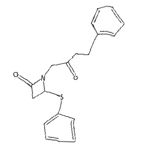 O=C(CCc1ccccc1)CN1C(=O)CC1Sc1ccccc1